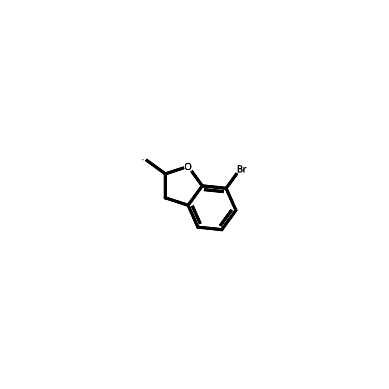 [CH2]C1Cc2cccc(Br)c2O1